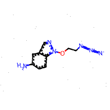 [N-]=[N+]=NCCOn1ncc2cc(N)ccc21